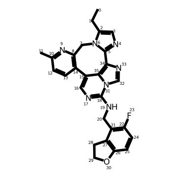 CCc1cnc2n1Cc1nc(C)ccc1-c1cnc(NCc3c(F)ccc4c3CCO4)n3cnc-2c13